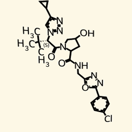 CC(C)(C)[C@@H](C(=O)N1CC(O)CC1C(=O)NCc1nnc(-c2ccc(Cl)cc2)o1)n1cc(C2CC2)nn1